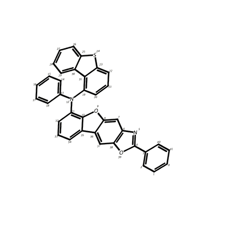 c1ccc(-c2nc3cc4oc5c(N(c6ccccc6)c6cccc7sc8ccccc8c67)cccc5c4cc3o2)cc1